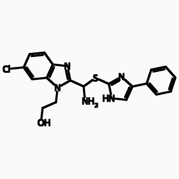 NC(Sc1nc(-c2ccccc2)c[nH]1)c1nc2ccc(Cl)cc2n1CCO